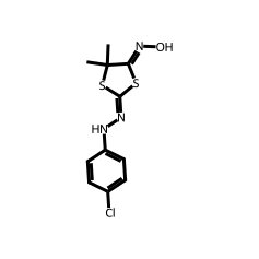 CC1(C)S/C(=N\Nc2ccc(Cl)cc2)S/C1=N\O